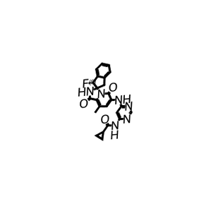 Cc1cc(Nc2cc(NC(=O)C3CC3)ncn2)c(=O)n2c1C(=O)NC21Cc2ccccc2[C@@H]1F